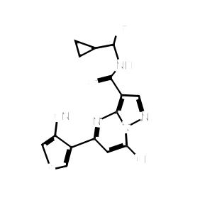 Cc1cc(-c2cscc2C#N)nc2c(C(=O)NC(C3CC3)C(F)(F)F)cnn12